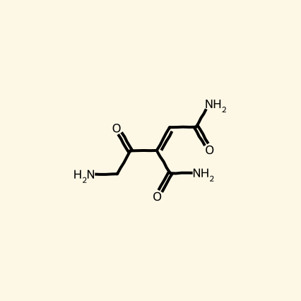 NCC(=O)C(=CC(N)=O)C(N)=O